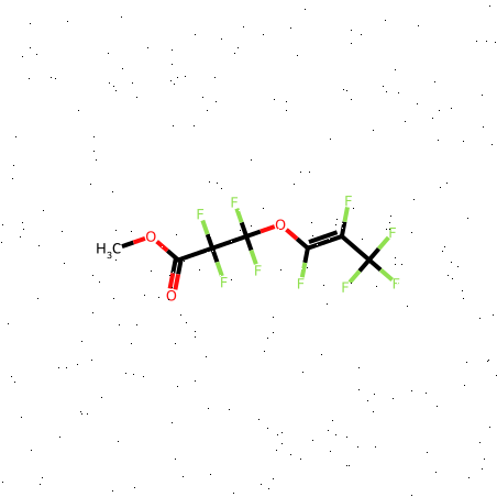 COC(=O)C(F)(F)C(F)(F)OC(F)=C(F)C(F)(F)F